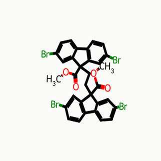 COC(=O)C1(CCC2(C(=O)OC)c3cc(Br)ccc3-c3ccc(Br)cc32)c2cc(Br)ccc2-c2ccc(Br)cc21